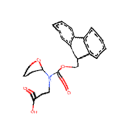 O=C(O)CN(C(=O)OCC1c2ccccc2-c2ccccc21)C1CO1